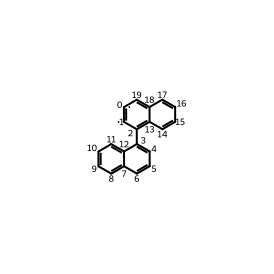 [c]1[c]c(-c2cccc3ccccc23)c2ccccc2c1